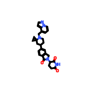 O=C1CCC(N2Cc3cc(C4CCN(Cc5cccn6nccc56)C5(CC5)C4)ccc3C2=O)C(=O)N1